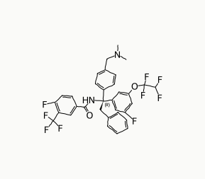 CN(C)Cc1ccc([C@@](Cc2ccccc2)(NC(=O)c2ccc(F)c(C(F)(F)F)c2)c2cc(F)cc(OC(F)(F)C(F)F)c2)cc1